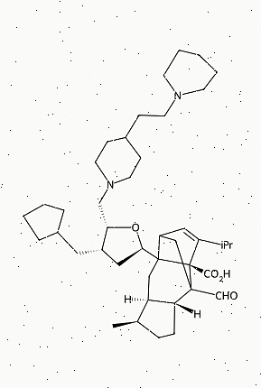 CC(C)C1=CC2CC3(C=O)[C@@H]4CC[C@@H](C)[C@H]4CC2([C@H]2C[C@H](CC4CCCC4)[C@H](CN4CCC(CCN5CCCCC5)CC4)O2)[C@]13C(=O)O